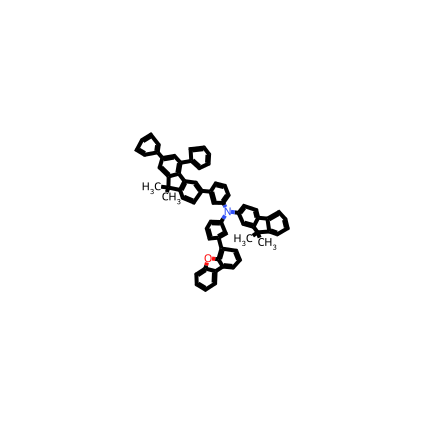 CC1(C)c2ccccc2-c2ccc(N(c3cccc(-c4ccc5c(c4)-c4c(-c6ccccc6)cc(-c6ccccc6)cc4C5(C)C)c3)c3cccc(-c4cccc5c4oc4ccccc45)c3)cc21